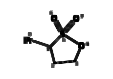 CC(C)C1CCOS1(=O)=O